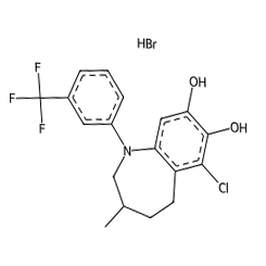 Br.CC1CCc2c(cc(O)c(O)c2Cl)N(c2cccc(C(F)(F)F)c2)C1